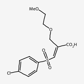 COCCOCC(=CS(=O)(=O)c1ccc(Cl)cc1)C(=O)O